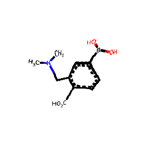 CN(C)Cc1cc(B(O)O)ccc1C(=O)O